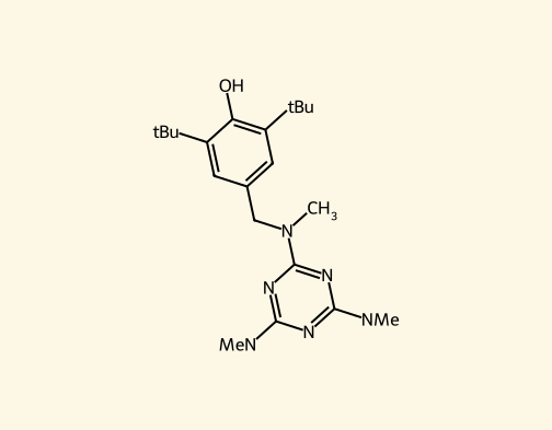 CNc1nc(NC)nc(N(C)Cc2cc(C(C)(C)C)c(O)c(C(C)(C)C)c2)n1